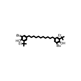 CCC(C)c1cc(CCCCCCCCCCCc2cc(C(C)CC)c(O)c(C(C)(C)CC)c2)cc(C(C)(C)CC)c1O